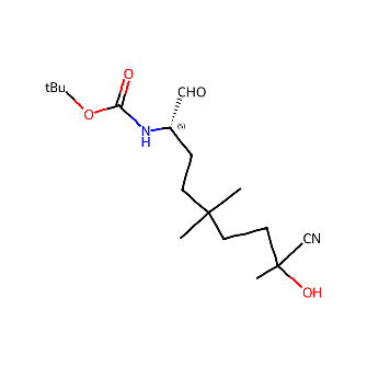 CC(O)(C#N)CCC(C)(C)CC[C@@H](C=O)NC(=O)OC(C)(C)C